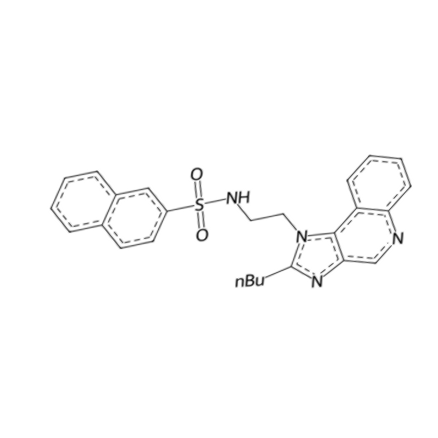 CCCCc1nc2cnc3ccccc3c2n1CCNS(=O)(=O)c1ccc2ccccc2c1